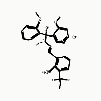 COc1ccccc1C(O)(c1ccccc1OC)[C@@H](C)N=Cc1cccc(C(F)(F)F)c1O.[Cu]